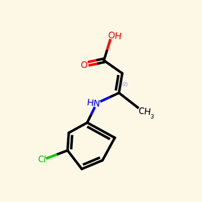 C/C(=C/C(=O)O)Nc1cccc(Cl)c1